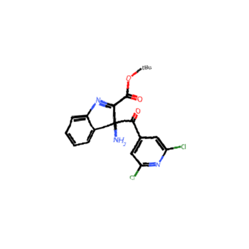 CC(C)(C)OC(=O)C1=Nc2ccccc2C1(N)C(=O)c1cc(Cl)nc(Cl)c1